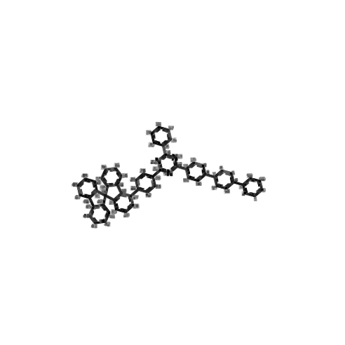 c1ccc(-c2ccc(-c3ccc(-c4nc(-c5ccccc5)nc(-c5ccc(-c6cccc7c6-c6ccccc6C76c7ccccc7-c7ccccc76)cc5)n4)cc3)cc2)cc1